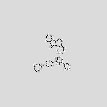 c1ccc(-c2ccc(-c3nc(-c4ccccc4)nc(-c4ccc5ccc6c7ccccc7sc6c5c4)n3)cc2)cc1